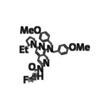 CCC1CCCN1c1cc2cc(NC(=O)[C@@H]3C[C@@H]3F)ncc2c(N(Cc2ccc(OC)cc2)Cc2ccc(OC)cc2)n1